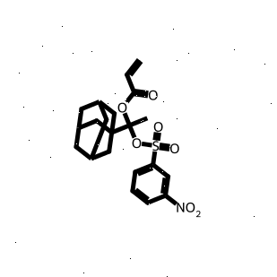 C=CC(=O)OC(C)(OS(=O)(=O)c1cccc([N+](=O)[O-])c1)C12CC3CC(CC(C3)C1)C2